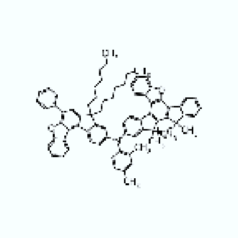 CCCCCCCC1(CCCCCCC)c2cc(N(c3ccc4c(c3)C(C)(C)c3c5c(c6oc7ccccc7c6c3-4)-c3ccccc3C5(C)C)c3ccc(C)cc3C)ccc2-c2c1cc(-c1ccccc1)c1oc3ccccc3c21